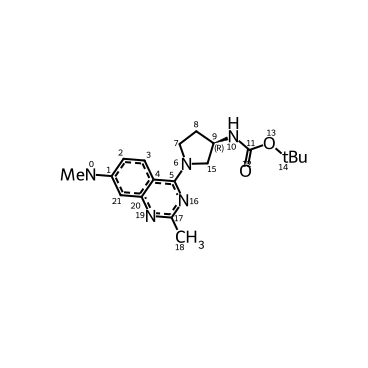 CNc1ccc2c(N3CC[C@@H](NC(=O)OC(C)(C)C)C3)nc(C)nc2c1